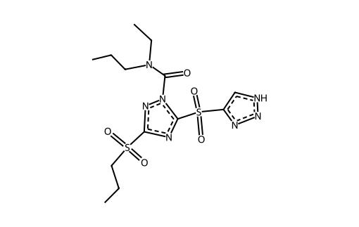 CCCN(CC)C(=O)n1nc(S(=O)(=O)CCC)nc1S(=O)(=O)c1c[nH]nn1